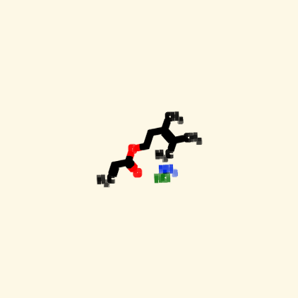 C=CC(=O)OCCC(C)=C(C)C.Cl.N